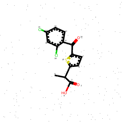 CC(C(=O)O)c1ccc(C(=O)c2ccc(Cl)cc2Cl)s1